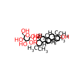 CC1(C)CC[C@]2(C(=O)OO[C@@H]3O[C@H](CO)[C@H](O)[C@H](O)[C@H]3O)[C@H](O)C[C@]3(C)C(=CC[C@@H]4[C@@]5(C)CC[C@H](O)C(C)(C)C5CC[C@]43C)[C@H]2C1